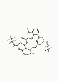 CC(C)c1ccccc1O[C@@H](C)C(=O)OC1CC(O[Si](C)(C)C(C)(C)C)C=C2C=CC(C)C(CC[C@@H]3C[C@@H](O[Si](C)(C)C(C)(C)C)CC(=O)O3)C21